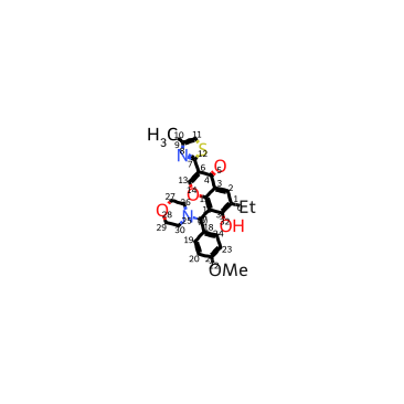 CCc1cc2c(=O)c(-c3nc(C)cs3)coc2c([C@@H](c2ccc(OC)cc2)N2CCOCC2)c1O